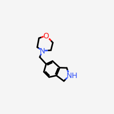 c1cc2c(cc1CN1CCOCC1)CNC2